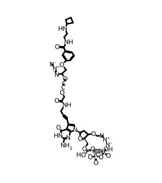 [N-]=[N+]=NCOC1C[C@H](n2cc(C#CCNC(=O)COCCOC(COc3cccc(C(=O)NCCNC4CCC4)c3)N=[N+]=[N-])c3c(=O)[nH]c(N)nc32)O[C@@H]1COP(=O)(O)OP(=O)(O)OP(=O)(O)O